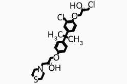 CC(C)(c1ccc(OC[C@@H](O)CN2CCSCC2)cc1)c1ccc(OC[C@H](O)CCl)c(Cl)c1